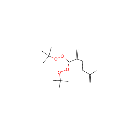 C=C(C)CCC(=C)C(OOC(C)(C)C)OOC(C)(C)C